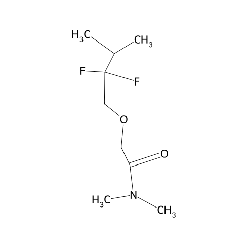 CC(C)C(F)(F)COCC(=O)N(C)C